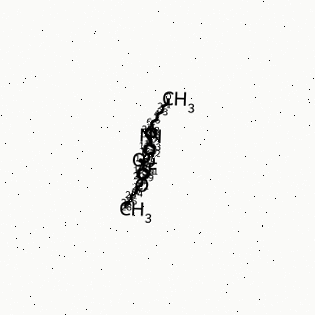 CCCCCCCc1cnc(-c2ccc(OC(=O)c3ccc(OCCCCCC)cc3F)cc2)nc1